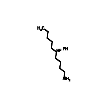 CCCCCCCCC[CH2][AlH2].F.F